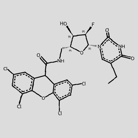 CCc1cn([C@@H]2O[C@H](CNC(=O)C3c4cc(Cl)cc(Cl)c4Oc4c(Cl)cc(Cl)cc43)[C@@H](O)[C@H]2F)c(=O)[nH]c1=O